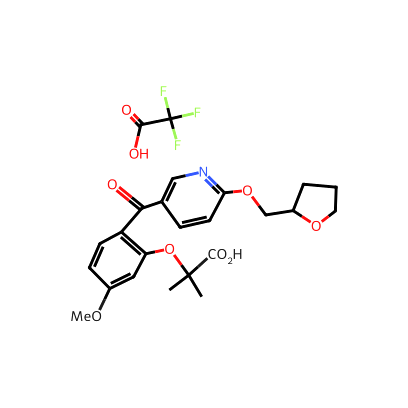 COc1ccc(C(=O)c2ccc(OCC3CCCO3)nc2)c(OC(C)(C)C(=O)O)c1.O=C(O)C(F)(F)F